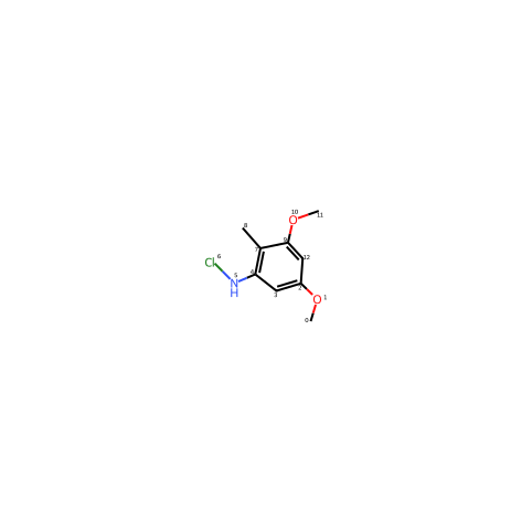 COc1cc(NCl)c(C)c(OC)c1